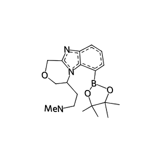 CNCCC1COCc2nc3cccc(B4OC(C)(C)C(C)(C)O4)c3n21